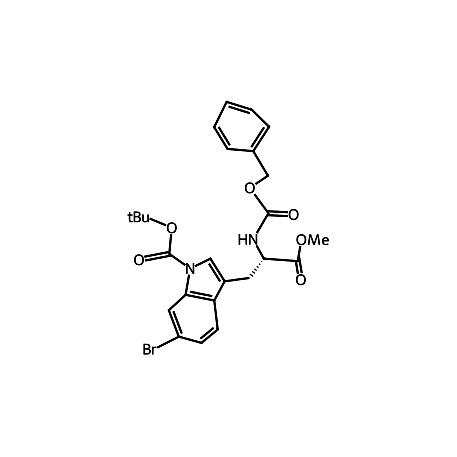 COC(=O)[C@H](Cc1cn(C(=O)OC(C)(C)C)c2cc(Br)ccc12)NC(=O)OCc1ccccc1